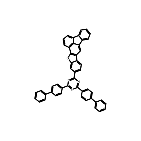 c1ccc(-c2ccc(-c3nc(-c4ccc(-c5ccccc5)cc4)nc(-c4ccc5c(c4)oc4c6cccc7c6c(cc54)-c4ccccc4-7)n3)cc2)cc1